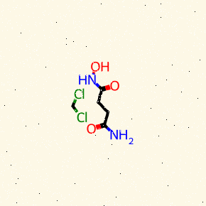 ClCCl.NC(=O)CCC(=O)NO